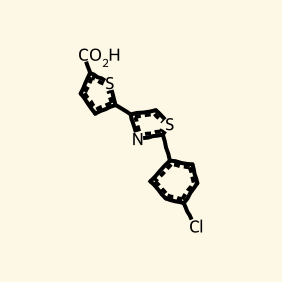 O=C(O)c1ccc(-c2csc(-c3ccc(Cl)cc3)n2)s1